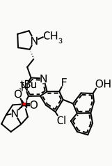 CN1CCC[C@H]1CCc1nc(N2CC3CCC(C2)N3C(=O)OC(C)(C)C)c2cc(Cl)c(-c3cc(O)cc4ccccc34)c(F)c2n1